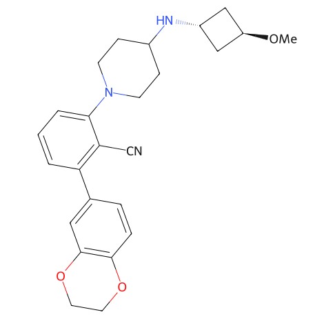 CO[C@H]1C[C@H](NC2CCN(c3cccc(-c4ccc5c(c4)OCCO5)c3C#N)CC2)C1